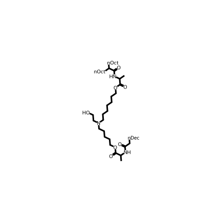 CCCCCCCCCCCC(=O)NC(C)C(=O)OCCCCCN(CCO)CCCCCCCOC(=O)C(C)NC(=O)C(CCCCCCCC)CCCCCCCC